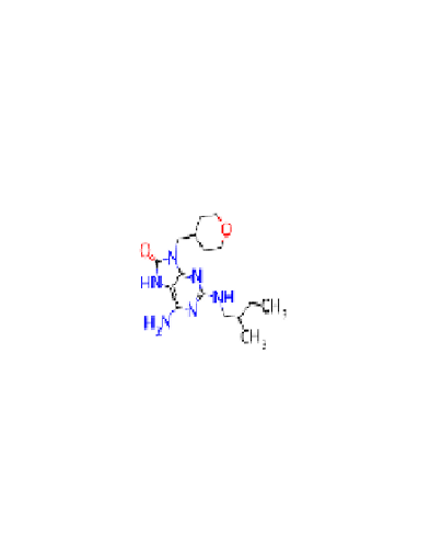 CCC(C)CNc1nc(N)c2[nH]c(=O)n(CC3CCOCC3)c2n1